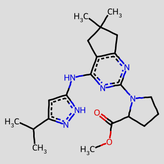 COC(=O)C1CCCN1c1nc2c(c(Nc3cc(C(C)C)n[nH]3)n1)CC(C)(C)C2